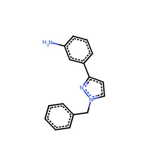 Nc1cccc(-c2ccn(Cc3ccccc3)n2)c1